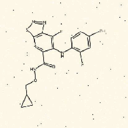 Cc1ccc(Nc2c(C(=O)NOCC3CC3)cc3snnc3c2F)c(F)c1